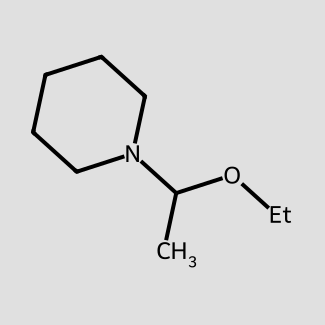 CCOC(C)N1CCCCC1